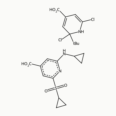 CC(C)(C)C1(Cl)C=C(C(=O)O)C=C(Cl)N1.O=C(O)c1cc(NC2CC2)nc(S(=O)(=O)C2CC2)c1